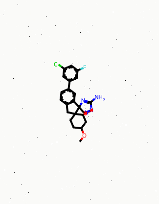 COC1CCC2(CC1)Cc1ccc(-c3cc(F)cc(Cl)c3)cc1C21N=C(N)N2CCON=C21